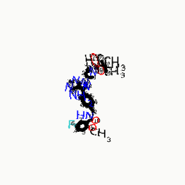 COc1ccc(F)cc1C(=O)NCc1ccc(-c2nn(C3CCN(C(=O)OC(C)(C)C)C3)c3ncnc(N)c23)cc1